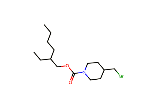 CCCCC(CC)COC(=O)N1CCC(CBr)CC1